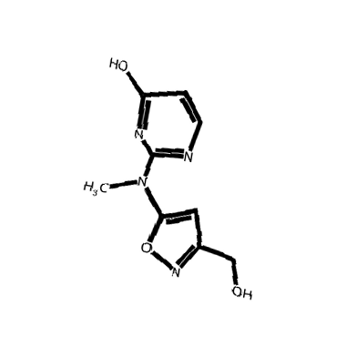 CN(c1nccc(O)n1)c1cc(CO)no1